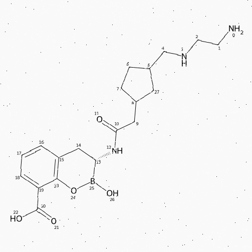 NCCNCC1CCC(CC(=O)N[C@H]2Cc3cccc(C(=O)O)c3OB2O)C1